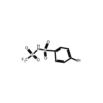 CC(C)c1ccc(S(=O)(=O)NS(=O)(=O)C(F)(F)F)cc1